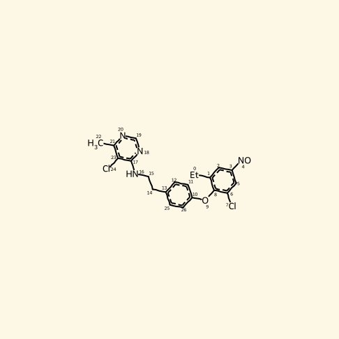 CCc1cc(N=O)cc(Cl)c1Oc1ccc(CCNc2ncnc(C)c2Cl)cc1